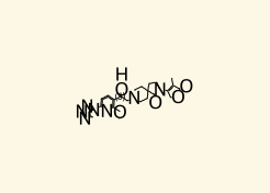 COc1nc(-n2cnnn2)ccc1[C@H](O)CN1CCC2(CC1)CCN(C1=C(C)C(=O)OC1)C2=O